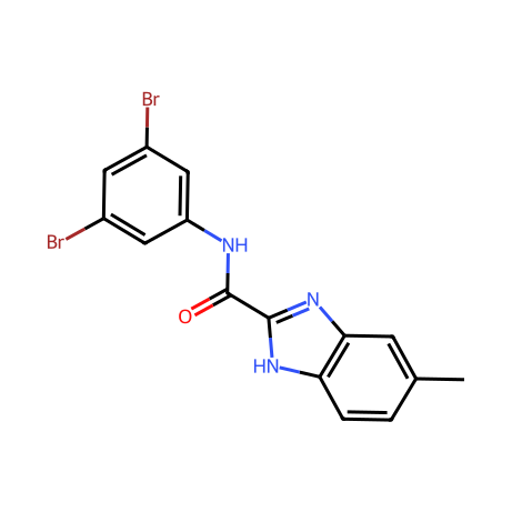 Cc1ccc2[nH]c(C(=O)Nc3cc(Br)cc(Br)c3)nc2c1